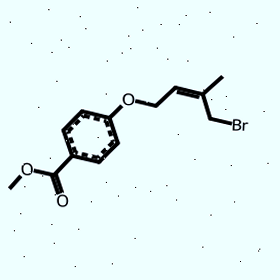 COC(=O)c1ccc(OCC=C(C)CBr)cc1